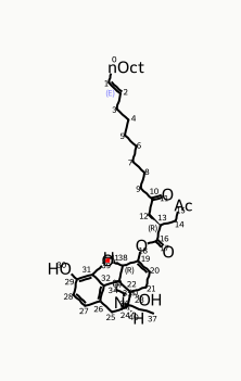 CCCCCCCC/C=C/CCCCCCCC(=O)C[C@@H](CC(C)=O)C(=O)OC1=CC[C@@]2(O)[C@H]3Cc4ccc(O)c5c4[C@@]2(CCN3C)[C@H]1O5